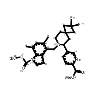 COC(=O)c1ccc(C2CC3(CCN2Cc2c(C)cc(C)c4c2ccn4C(=O)OC(C)(C)C)CC(F)(F)C3)cn1